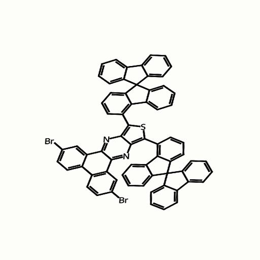 Brc1ccc2c3ccc(Br)cc3c3nc4c(-c5cccc6c5-c5ccccc5C65c6ccccc6-c6ccccc65)sc(-c5cccc6c5-c5ccccc5C65c6ccccc6-c6ccccc65)c4nc3c2c1